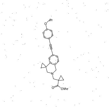 COC(=O)C1(CN2Cc3ccc(C#Cc4ccc(OC(C)C)cc4)cc3C3(CC3)C2)CC1